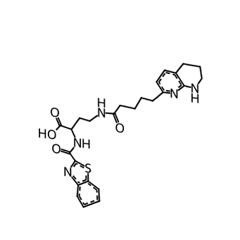 O=C(CCCCc1ccc2c(n1)NCCC2)NCCC(NC(=O)c1nc2ccccc2s1)C(=O)O